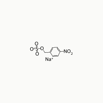 O=[N+]([O-])c1ccc(COS(=O)(=O)[O-])cc1.[Na+]